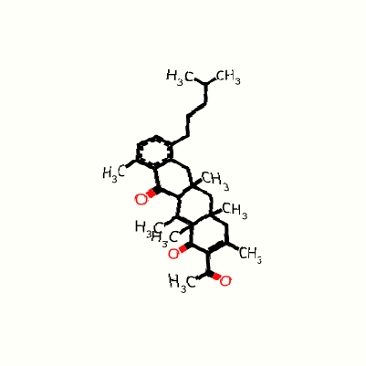 CC(=O)C1=C(C)CC2(C)CC3(C)Cc4c(CCCC(C)C)ccc(C)c4C(=O)C3C(C)C2(C)C1=O